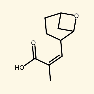 CC(=CC1CCC2CC1O2)C(=O)O